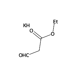 CCOC(=O)CC=O.[KH]